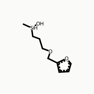 C[SiH](O)CCCOCc1ccco1